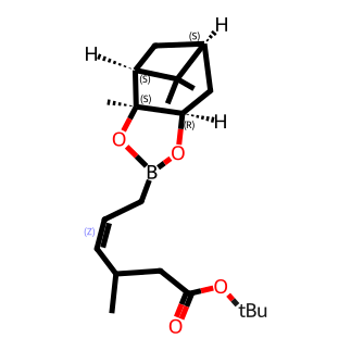 CC(/C=C\CB1O[C@@H]2C[C@@H]3C[C@@H](C3(C)C)[C@]2(C)O1)CC(=O)OC(C)(C)C